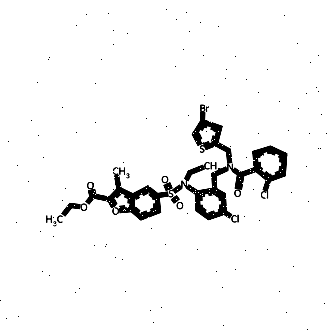 CCOC(=O)c1oc2ccc(S(=O)(=O)N(CC)c3ccc(Cl)cc3CN(Cc3cc(Br)cs3)C(=O)c3ccccc3Cl)cc2c1C